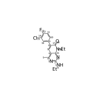 CCNc1nc(C)c2cc(-c3ccc(F)c(Cl)c3)c(=O)n(CC)c2n1